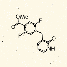 COC(=O)c1cc(F)c(Cc2ccc[nH]c2=O)cc1F